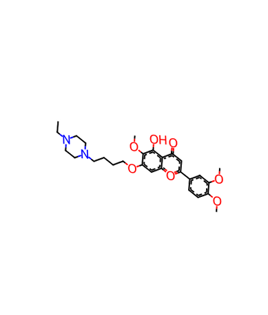 CCN1CCN(CCCCOc2cc3oc(-c4ccc(OC)c(OC)c4)cc(=O)c3c(O)c2OC)CC1